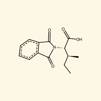 CC[C@H](C)[C@@H](C(=O)O)N1C(=O)c2ccccc2C1=O